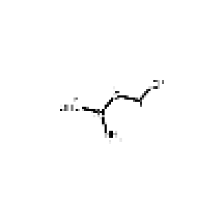 NN(C=O)SCCl